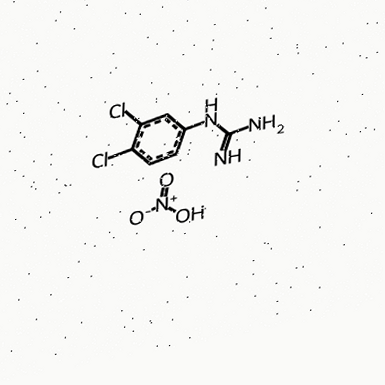 N=C(N)Nc1ccc(Cl)c(Cl)c1.O=[N+]([O-])O